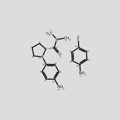 CN(C)C(=O)[C@H]1CCCN1c1ccc([N+](=O)[O-])cc1.O=[N+]([O-])c1ccc(F)cc1